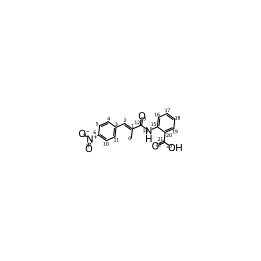 C/C(=C\c1ccc([N+](=O)[O-])cc1)C(=O)Nc1ccccc1C(=O)O